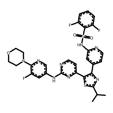 CC(C)c1nc(-c2ccnc(NS(=O)(=O)c3c(F)cccc3F)c2)c(-c2ccnc(Nc3cnc(N4CCOCC4)c(F)c3)n2)s1